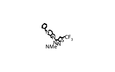 CNc1nc(N2CC3CCN(Cc4ccccc4)CC3C2)c2cc(CC(F)(F)F)sc2n1